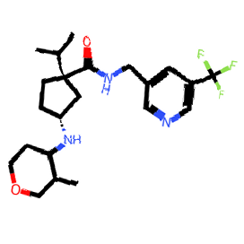 CC1COCCC1N[C@@H]1CC[C@@](C(=O)NCc2cncc(C(F)(F)F)c2)(C(C)C)C1